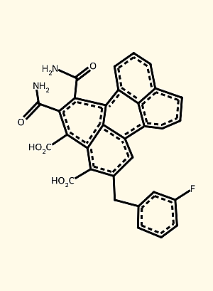 NC(=O)c1c(C(=O)O)c2c(C(=O)O)c(Cc3cccc(F)c3)cc3c4cccc5cccc(c(c1C(N)=O)c23)c54